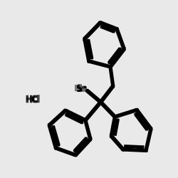 Cl.[Sn][C](Cc1ccccc1)(c1ccccc1)c1ccccc1